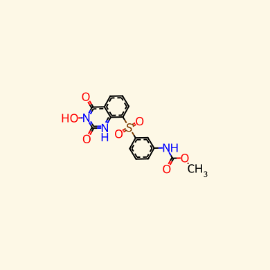 COC(=O)Nc1cccc(S(=O)(=O)c2cccc3c(=O)n(O)c(=O)[nH]c23)c1